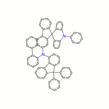 c1ccc(-c2ccccc2N(c2ccc3c(c2)C2(c4ccccc4-3)c3ccccc3N(c3ccccc3)c3ccccc32)c2cccc3c2-c2ccccc2C3(c2ccccc2)c2ccccc2)cc1